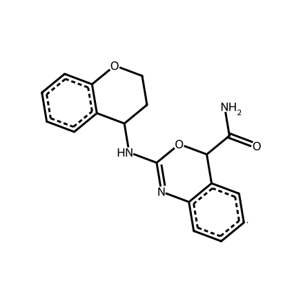 NC(=O)C1OC(NC2CCOc3ccccc32)=Nc2cc[c]cc21